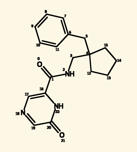 O=C(NCC1(Cc2ccccc2)CCCC1)c1cncc(=O)[nH]1